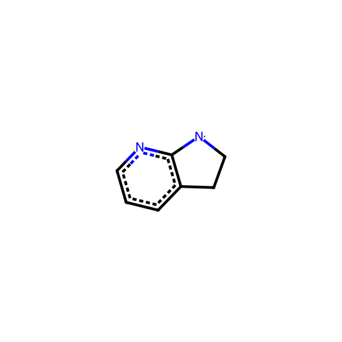 c1cnc2c(c1)CC[N]2